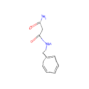 NC(=O)CC(=O)NCc1ccccc1